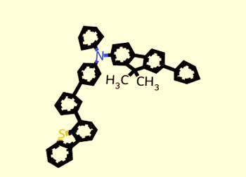 CC1(C)c2cc(-c3ccccc3)ccc2-c2ccc(N(c3ccccc3)c3ccc(-c4cccc(-c5cccc6c5sc5ccccc56)c4)cc3)cc21